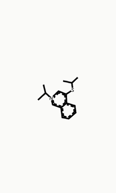 CC(C)Sc1c[n+](C(C)C)cc2ccccc12